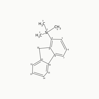 C[Si](C)(C)c1cccc2c1[CH]c1ccccc1-2